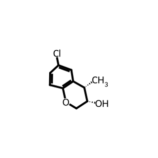 C[C@H]1c2cc(Cl)ccc2OC[C@H]1O